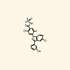 CS(=O)(=O)NC(=O)c1cc(F)c(-n2nc(-c3cccc(C#N)c3)c3cc(Cl)ccc32)cc1Cl